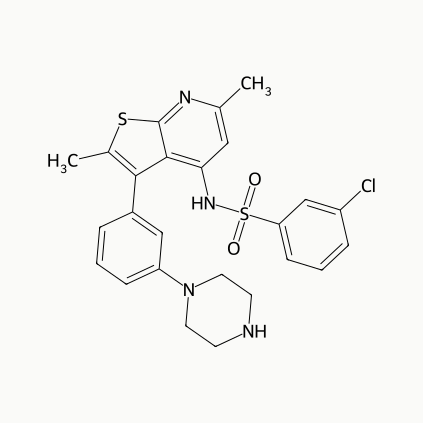 Cc1cc(NS(=O)(=O)c2cccc(Cl)c2)c2c(-c3cccc(N4CCNCC4)c3)c(C)sc2n1